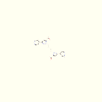 O=C(O)c1cc(-c2ccncc2)nn1CCCCn1nc(-c2ccncc2)cc1C(=O)O